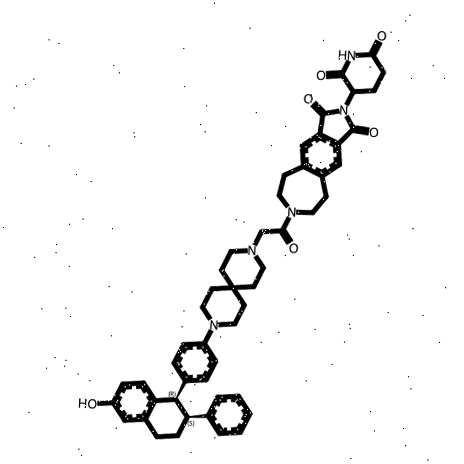 O=C1CCC(N2C(=O)c3cc4c(cc3C2=O)CCN(C(=O)CN2CCC3(CC2)CCN(c2ccc([C@@H]5c6ccc(O)cc6CC[C@@H]5c5ccccc5)cc2)CC3)CC4)C(=O)N1